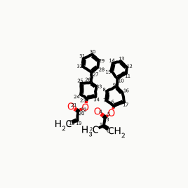 C=C(C)C(=O)Oc1ccc(-c2ccccc2)cc1.C=CC(=O)Oc1ccc(-c2ccccc2)cc1